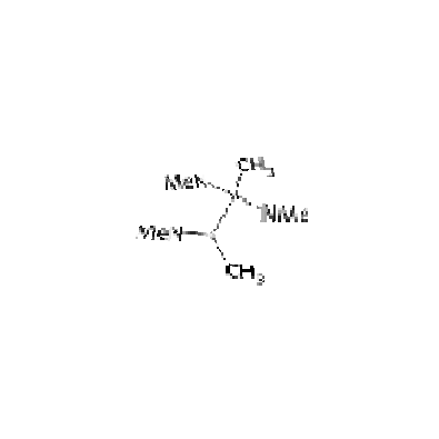 CN[C](C)C(C)(NC)NC